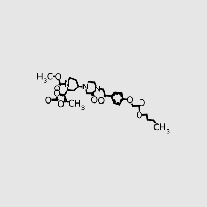 CCCCOC(=O)COc1ccc(C(=O)CN2CCN(C3CCN(C(=O)OC)C(c4oc(=O)oc4C)C3)CC2=O)cc1